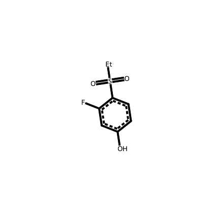 CCS(=O)(=O)c1ccc(O)cc1F